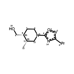 CC(C)c1noc(N2CC[C@@H](CO)[C@@H](C)C2)n1